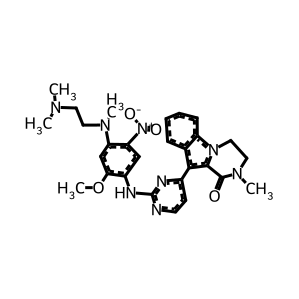 COc1cc(N(C)CCN(C)C)c([N+](=O)[O-])cc1Nc1nccc(-c2c3n(c4ccccc24)CCN(C)C3=O)n1